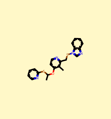 Cc1c(OC(C)Sc2ccccn2)ccnc1CSn1cnc2ccccc21